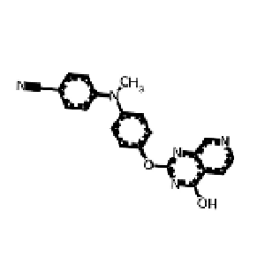 CN(c1ccc(C#N)cc1)c1ccc(Oc2nc(O)c3ccncc3n2)cc1